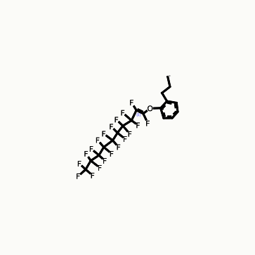 [CH2]CCc1ccccc1O/C(F)=C(\F)C(F)(F)C(F)(F)C(F)(F)C(F)(F)C(F)(F)C(F)(F)C(F)(F)C(F)(F)F